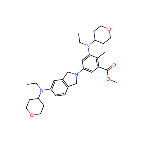 CCN(c1ccc2c(c1)CN(c1cc(C(=O)OC)c(C)c(N(CC)C3CCOCC3)c1)C2)C1CCOCC1